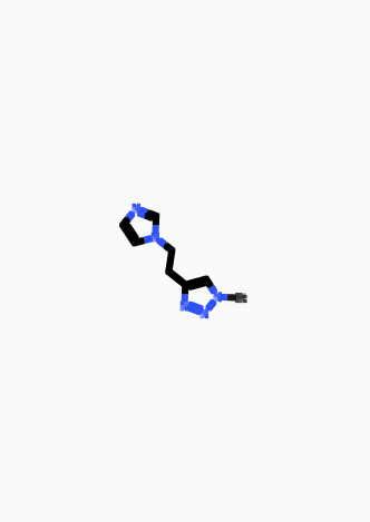 CCn1cc(CCn2ccnc2)nn1